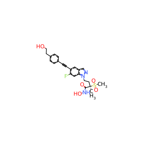 C[C@@](CCn1ncc2cc(C#Cc3ccc(CCO)cc3)c(F)cc21)(C(=O)NO)S(C)(=O)=O